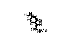 CNC(=O)c1noc2cc(N)ccc12